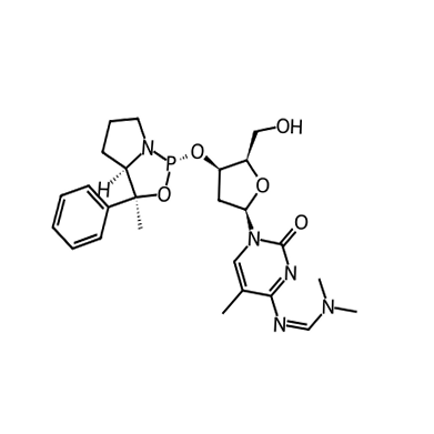 Cc1cn([C@H]2C[C@@H](O[P@]3O[C@@](C)(c4ccccc4)[C@H]4CCCN43)[C@@H](CO)O2)c(=O)nc1/N=C\N(C)C